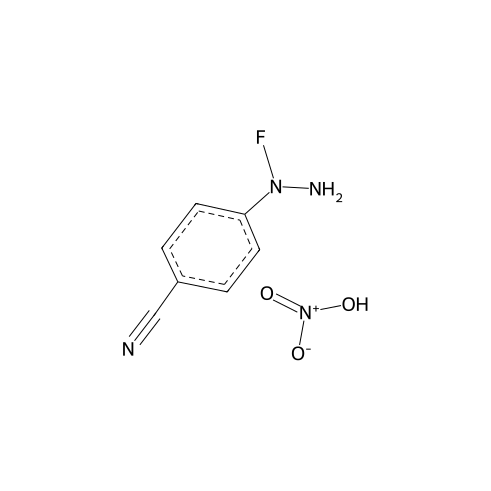 N#Cc1ccc(N(N)F)cc1.O=[N+]([O-])O